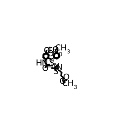 COC(=O)CCc1nnc(C[C@H]2S[C@H](c3cccc(OC)c3OC)c3cc(Cl)ccc3NC2=O)s1